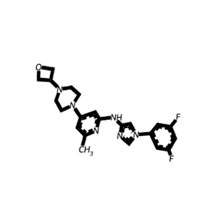 Cc1cc(N2CCN(C3COC3)CC2)cc(Nc2cn(-c3cc(F)cc(F)c3)cn2)n1